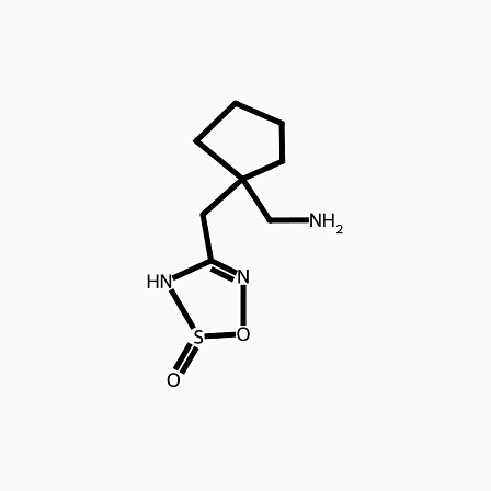 NCC1(CC2=NOS(=O)N2)CCCC1